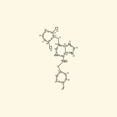 Fc1ccc(CNc2ncn(Cc3c(Cl)cccc3Cl)c3ncnc2-3)cc1